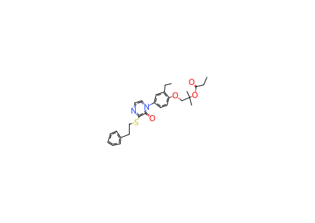 CCC(=O)OC(C)(C)COc1ccc(-n2ccnc(SCCc3ccccc3)c2=O)cc1CC